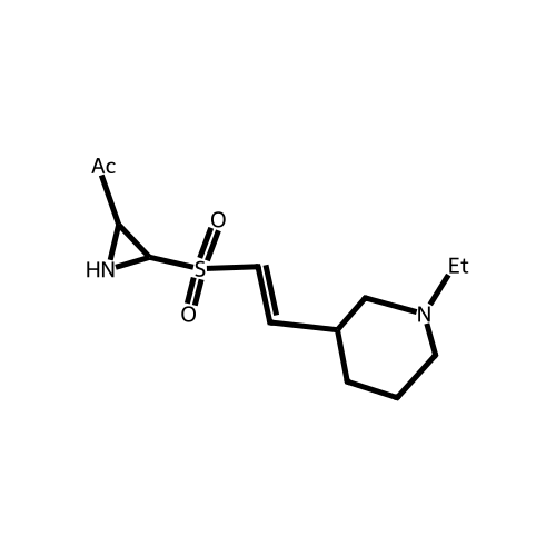 CCN1CCCC(/C=C/S(=O)(=O)C2NC2C(C)=O)C1